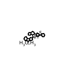 CC1(C)c2ccccc2-c2cc(Nc3c(-c4ccc5c(c4)sc4ccccc45)ccc4ccccc34)ccc21